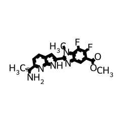 COC(=O)c1cc2nc(-c3cc4ccc([C@@H](C)N)nc4[nH]3)n(C)c2c(F)c1F